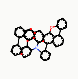 c1ccc(-c2cccc3cccc(-c4ccccc4N(c4ccccc4-c4ccc5c6c(cccc46)-c4ccccc4O5)c4cccc5ccccc45)c23)cc1